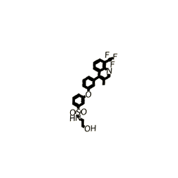 Cc1cnc2c(C(F)(F)F)cccc2c1-c1cccc(Oc2cccc(S(=O)(=O)NCCO)c2)c1